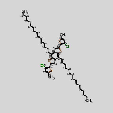 CCCCCCCCCCCCCCCCc1c2cc(-c3sc(C)cc3Cl)sc2c(CCCCCCCCCCCCCCCC)c2cc(-c3sc(C)cc3Cl)sc12